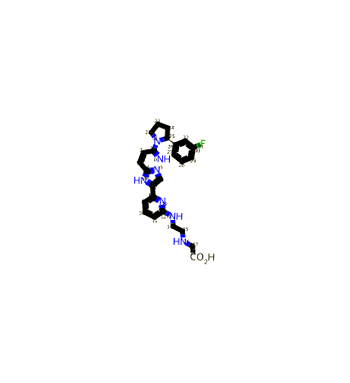 N=C(/C=C\c1ncc(-c2cccc(NCCNCC(=O)O)n2)[nH]1)N1CCC[C@@H]1c1cccc(F)c1